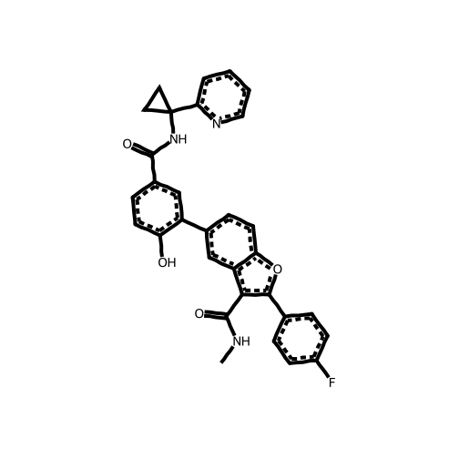 CNC(=O)c1c(-c2ccc(F)cc2)oc2ccc(-c3cc(C(=O)NC4(c5ccccn5)CC4)ccc3O)cc12